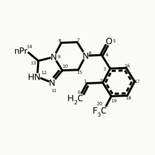 C=Cc1c(C(=O)N2CCN3C(=NNC3CCC)C2)cccc1C(F)(F)F